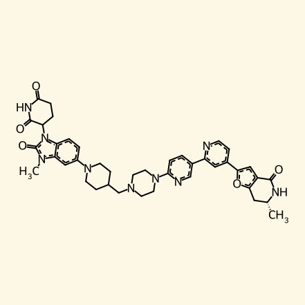 C[C@@H]1Cc2oc(-c3ccnc(-c4ccc(N5CCN(CC6CCN(c7ccc8c(c7)n(C)c(=O)n8C7CCC(=O)NC7=O)CC6)CC5)nc4)c3)cc2C(=O)N1